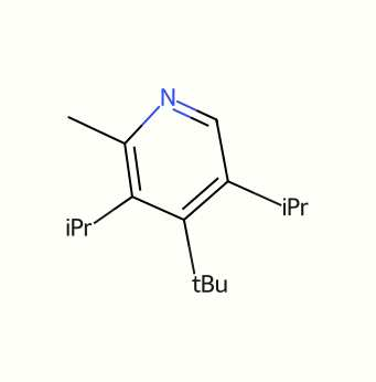 Cc1ncc(C(C)C)c(C(C)(C)C)c1C(C)C